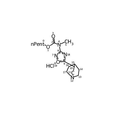 CCCCCOC(=O)N(C)c1noc(C2CN3CCC2CC3)n1.Cl